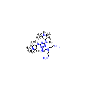 CCCCN(c1ncnc(N(CCCC)C2CC(C)(C)N(C)C(C)(C)C2)n1)C1CC(C)(C)N(C)C(C)(C)C1.NCCCN(CCN)CCCN